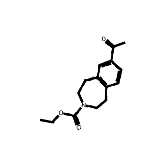 CCOC(=O)N1CCc2ccc(C(C)=O)cc2CC1